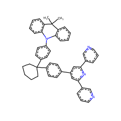 CC1(C)c2ccccc2N(c2ccc(C3(c4ccc(-c5cc(-c6cccnc6)nc(-c6cccnc6)c5)cc4)CCCCC3)cc2)c2ccccc21